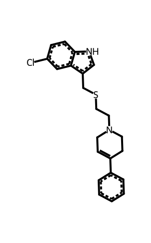 Clc1ccc2[nH]cc(CSCCN3CC=C(c4ccccc4)CC3)c2c1